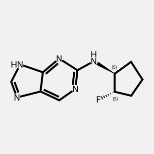 F[C@H]1CCC[C@@H]1Nc1ncc2nc[nH]c2n1